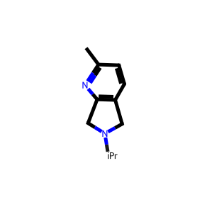 Cc1ccc2c(n1)CN(C(C)C)C2